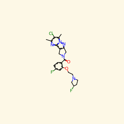 Cc1nc2c3c(nn2c(C)c1Cl)CN(C(=O)c1ccc(F)cc1OCCN1CC[C@@H](F)C1)C3